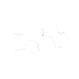 Cc1cccn2c(C(=O)c3ccccc3O)cnc12